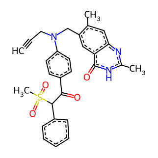 C#CCN(Cc1cc2c(=O)[nH]c(C)nc2cc1C)c1ccc(C(=O)C(c2ccccc2)S(C)(=O)=O)cc1